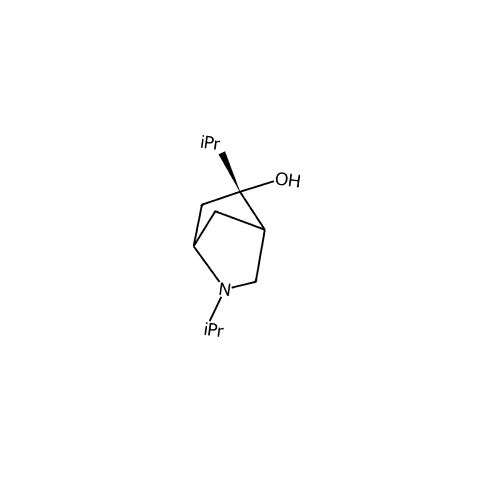 CC(C)N1CC2CC1C[C@@]2(O)C(C)C